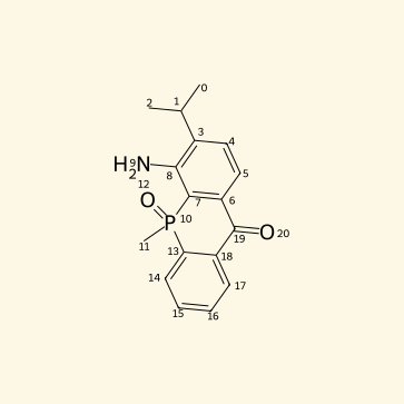 CC(C)c1ccc2c(c1N)P(C)(=O)c1ccccc1C2=O